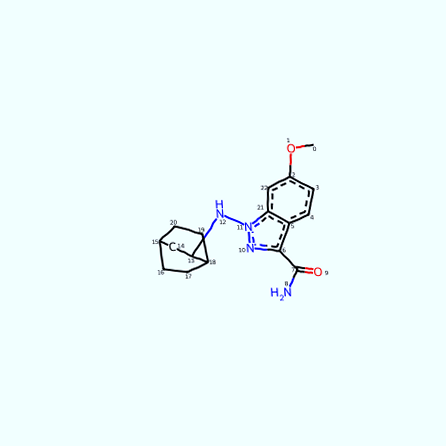 COc1ccc2c(C(N)=O)nn(NC3CC4CCC3CC4)c2c1